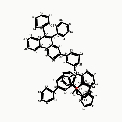 CC1(c2ccccc2)c2ccccc2-c2cccc(N(c3cccc(-c4ccc5c(c4)c(-c4ccccc4)c(-c4ccccc4)c4ccccc45)c3)c3ccc(-c4ccccc4)cc3-c3ccccc3)c21